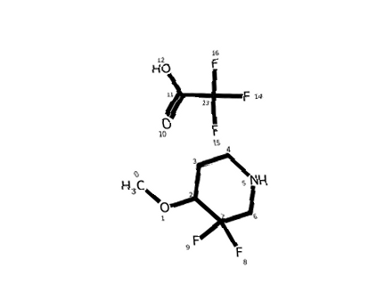 COC1CCNCC1(F)F.O=C(O)C(F)(F)F